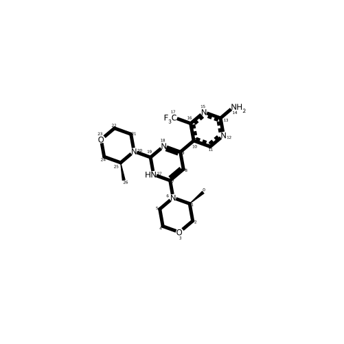 C[C@H]1COCCN1C1=CC(c2cnc(N)nc2C(F)(F)F)=NC(N2CCOC[C@@H]2C)N1